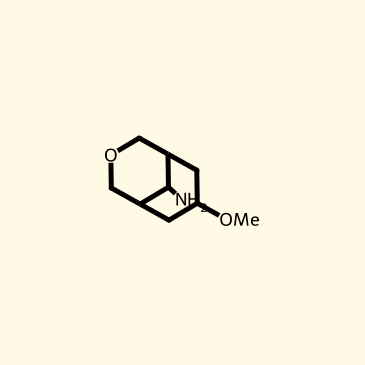 COC1CC2COCC(C1)C2N